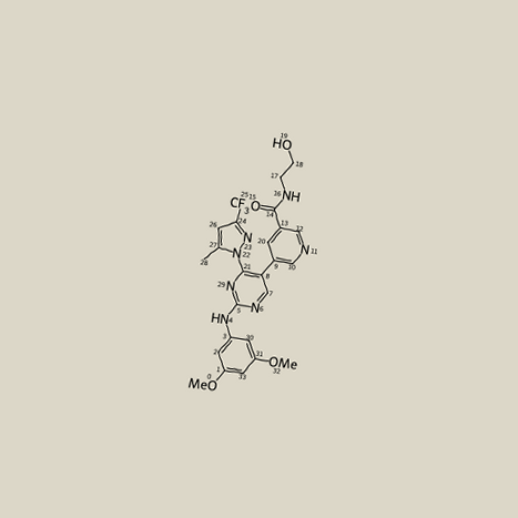 COc1cc(Nc2ncc(-c3cncc(C(=O)NCCO)c3)c(-n3nc(C(F)(F)F)cc3C)n2)cc(OC)c1